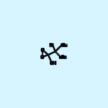 CCCCC(CC)(C(C)(C)C)C1(O)OO1